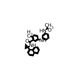 CC(=O)Nc1cccc(Nc2ccc(C)c(C(=O)NC3(c4cccc5ccccc45)CC3)c2)c1